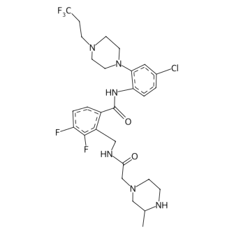 CC1CN(CC(=O)NCc2c(C(=O)Nc3ccc(Cl)cc3N3CCN(CCC(F)(F)F)CC3)ccc(F)c2F)CCN1